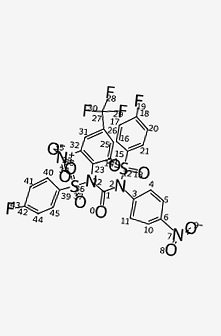 O=C(N(c1ccc([N+](=O)[O-])cc1)S(=O)(=O)c1ccc(F)cc1)N(c1ccc(C(F)(F)F)cc1[N+](=O)[O-])S(=O)(=O)c1ccc(F)cc1